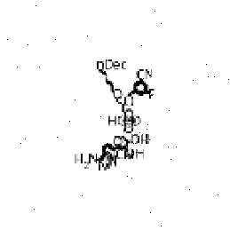 CCCCCCCCCCCCCCCOC[C@H](COP(=O)(O)OC[C@H]1O[C@@](C#N)(c2ccc3c(N)ncnn23)[C@H](O)[C@@H]1O)OCc1cc(F)cc(C#N)c1